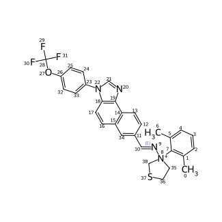 Cc1cccc(C)c1[N+]1(/N=C/c2ccc3c(ccc4c3ncn4-c3ccc(OC(F)(F)F)cc3)c2)CCSC1